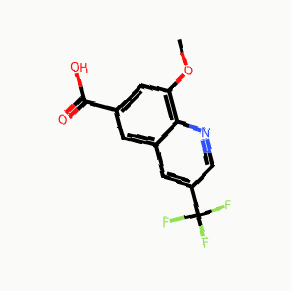 COc1cc(C(=O)O)cc2cc(C(F)(F)F)cnc12